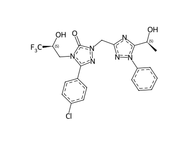 C[C@H](O)c1nc(Cn2nc(-c3ccc(Cl)cc3)n(C[C@H](O)C(F)(F)F)c2=O)nn1-c1ccccc1